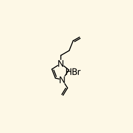 Br.C=CCCN1C=CN(C=C)C1